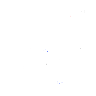 COC(=O)C1(Nc2cccc(OC)c2)CCNCC1